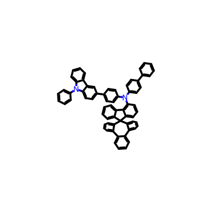 c1ccc(-c2ccc(N(c3ccc(-c4ccc5c(c4)c4ccccc4n5-c4ccccc4)cc3)c3cccc4c3-c3ccccc3C43c4ccccc4-c4ccccc4-c4ccccc43)cc2)cc1